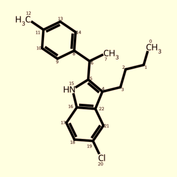 CCCCc1c(C(C)c2ccc(C)cc2)[nH]c2ccc(Cl)cc12